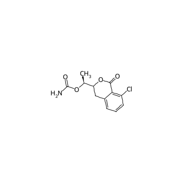 C[C@H](OC(N)=O)C1Cc2cccc(Cl)c2C(=O)O1